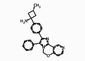 C[C@H]1C[C@](N)(c2ccc(-c3nc4n(c3-c3ccccc3)COc3ccncc3-4)cc2)C1